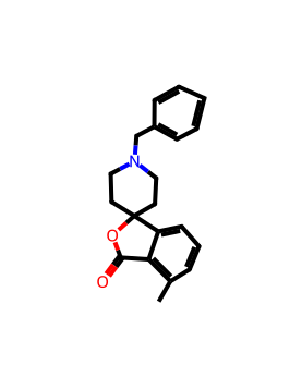 Cc1cccc2c1C(=O)OC21CCN(Cc2ccccc2)CC1